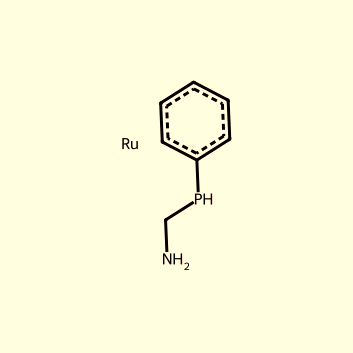 NCPc1ccccc1.[Ru]